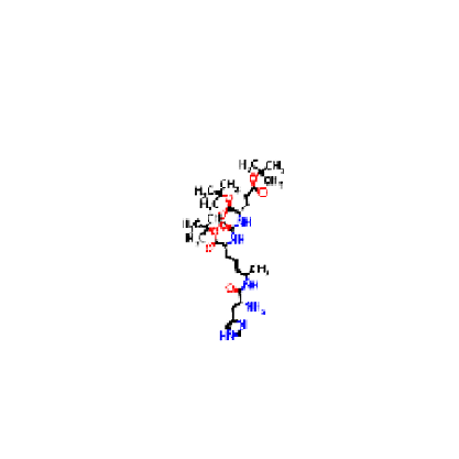 CC(CCC[C@H](NC(=O)N[C@@H](CCC(=O)OC(C)(C)C)C(=O)OC(C)(C)C)C(=O)OC(C)(C)C)NC(=O)[C@H](N)Cc1c[nH]cn1